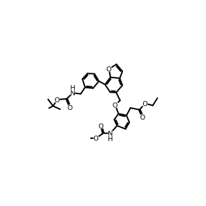 CCOC(=O)Cc1ccc(NC(=O)OC)cc1OCc1cc(-c2cccc(CNC(=O)OC(C)(C)C)c2)c2occc2c1